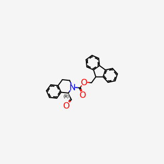 O=C[C@H]1c2ccccc2CCN1C(=O)OCC1c2ccccc2-c2ccccc21